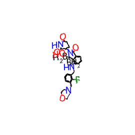 BC1(B)c2c(NCc3cccc(CN4CCOCC4)c3F)cccc2C(=O)N1C1(O)CCC(=O)NC1=O